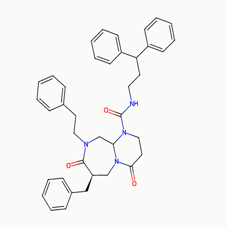 O=C1[C@H](Cc2ccccc2)CN2C(=O)CCN(C(=O)NCCC(c3ccccc3)c3ccccc3)C2CN1CCc1ccccc1